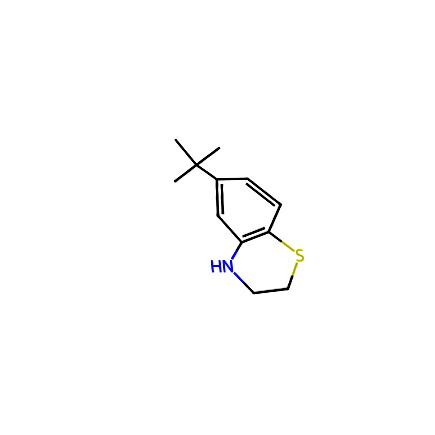 CC(C)(C)c1ccc2c(c1)NCCS2